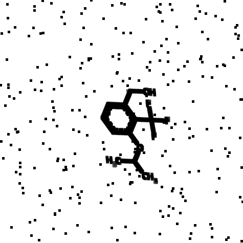 CC(C)Oc1cccc([CH]O)c1C(F)(F)F